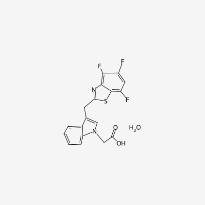 O.O=C(O)Cn1cc(Cc2nc3c(F)c(F)cc(F)c3s2)c2ccccc21